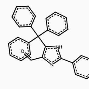 O=Cc1nc(-c2ccccc2)[nH]c1C(c1ccccc1)(c1ccccc1)c1ccccc1